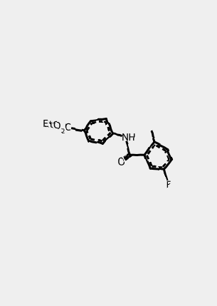 CCOC(=O)c1ccc(NC(=O)c2cc(F)ccc2C)cc1